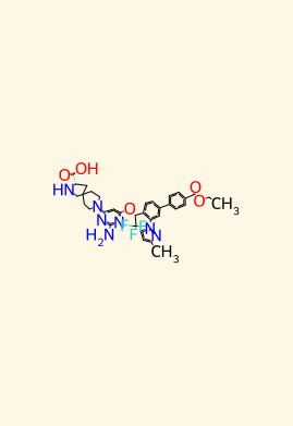 CCOC(=O)c1ccc(-c2ccc(C(Oc3cc(N4CCC5(CC4)CN[C@H](C(=O)O)C5)nc(N)n3)C(F)(F)F)c(-n3ccc(C)n3)c2)cc1